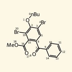 CCCCOc1c(Br)cc(C(=O)c2ccccc2)c(C(=O)OC)c1Br